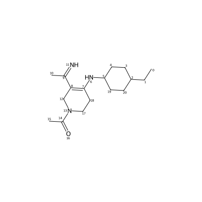 CCC1CCC(NC2=C(C(C)=N)CN(C(C)=O)CC2)CC1